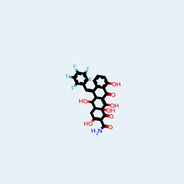 NC(=O)C1=C(O)CC2C(O)C3C(=C(O)C2(O)C1=O)C(=O)c1c(O)cccc1/C3=C\c1c(F)c(F)c(F)c(F)c1F